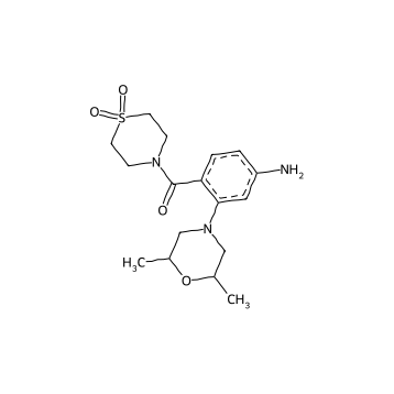 CC1CN(c2cc(N)ccc2C(=O)N2CCS(=O)(=O)CC2)CC(C)O1